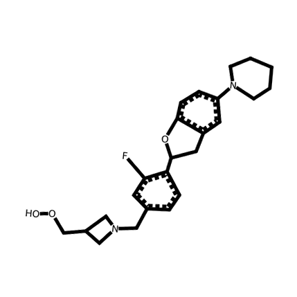 OOCC1CN(Cc2ccc(C3Cc4cc(N5CCCCC5)ccc4O3)c(F)c2)C1